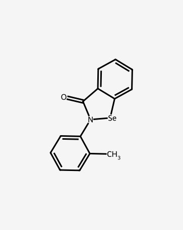 Cc1ccccc1-n1[se]c2ccccc2c1=O